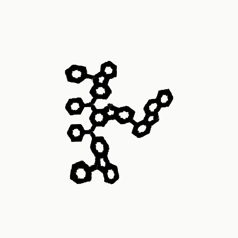 c1ccc(N(c2cc(N(c3ccccc3)c3ccc4c5ccccc5n(-c5ccccc5)c4c3)c3oc4ccc(-c5cccc6sc7c8ccccc8ccc7c56)cc4c3c2)c2ccc3c4ccccc4n(-c4ccccc4)c3c2)cc1